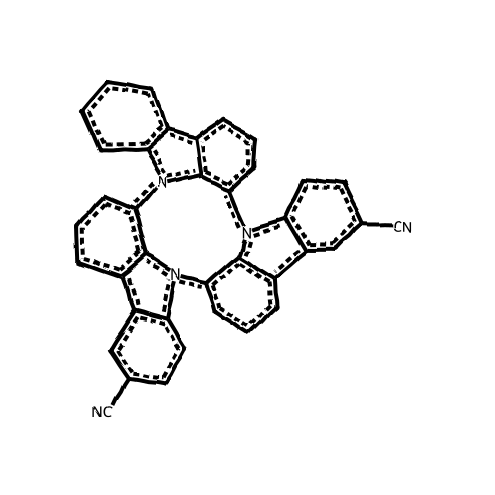 N#Cc1ccc2c(c1)c1cccc3c1n2c1cccc2c4ccccc4n(c4cccc5c6cc(C#N)ccc6n3c54)c21